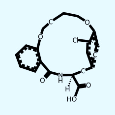 O=C1N[C@H](C(=O)O)Cc2ccc(c(Cl)c2)OCCCCOc2ccccc21